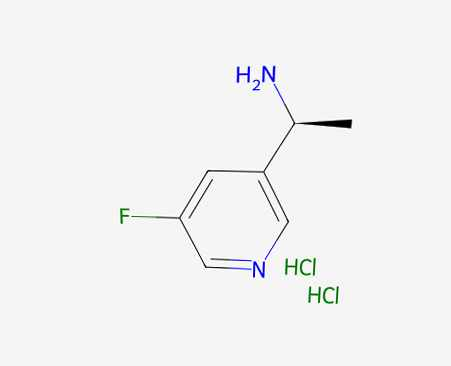 C[C@H](N)c1cncc(F)c1.Cl.Cl